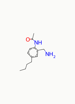 CCCCc1ccc(NC(C)=O)c(CN)c1